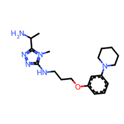 CC(N)c1nnc(NCCCOc2cccc(N3CCCCC3)c2)n1C